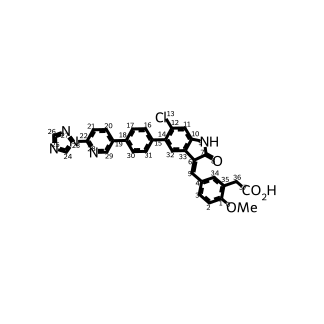 COc1ccc(C=C2C(=O)Nc3cc(Cl)c(-c4ccc(-c5ccc(-n6cncn6)nc5)cc4)cc32)cc1CC(=O)O